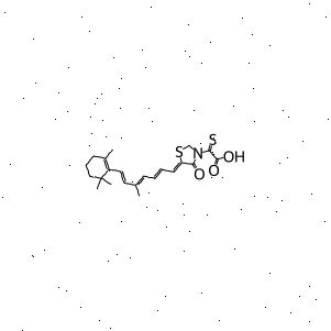 CC(C=CC1=C(C)CCCC1(C)C)=CC=CC=C1SCN(C(=S)C(=O)O)C1=O